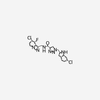 O=C(NCc1ncn2ccc(Cl)c(F)c12)c1cn(Cc2cc3ccc(Cl)cc3[nH]2)nn1